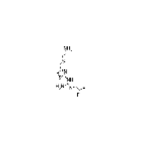 NCCSCc1csc(N/C(N)=N\CC(F)F)n1